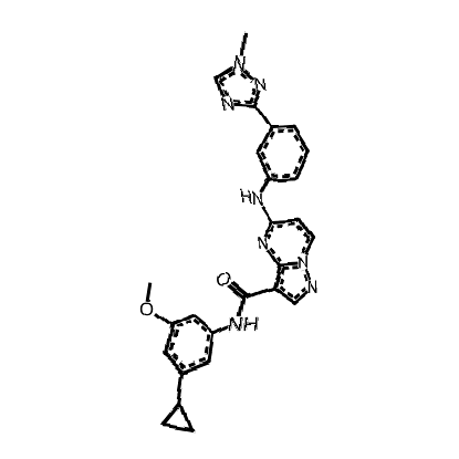 COc1cc(NC(=O)c2cnn3ccc(Nc4cccc(-c5ncn(C)n5)c4)nc23)cc(C2CC2)c1